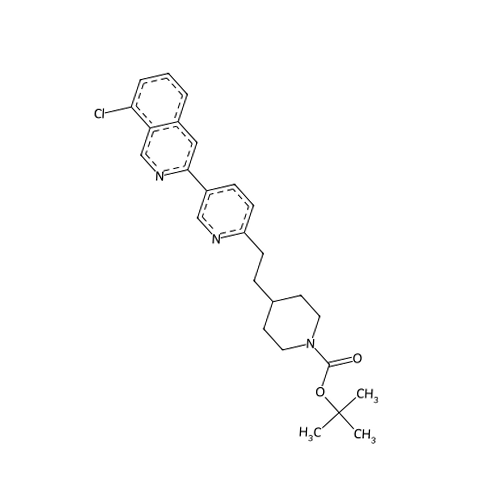 CC(C)(C)OC(=O)N1CCC(CCc2ccc(-c3cc4cccc(Cl)c4cn3)cn2)CC1